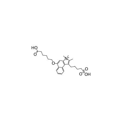 CC1=C(CCCCS(=O)(=O)O)c2c(cc(OCCCCCC(=O)O)c3ccccc23)[N+]1(C)C